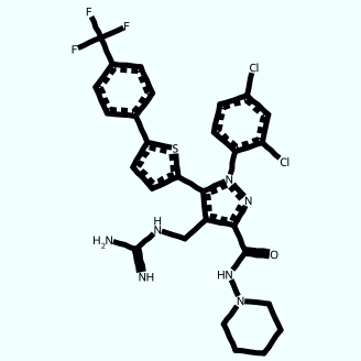 N=C(N)NCc1c(C(=O)NN2CCCCC2)nn(-c2ccc(Cl)cc2Cl)c1-c1ccc(-c2ccc(C(F)(F)F)cc2)s1